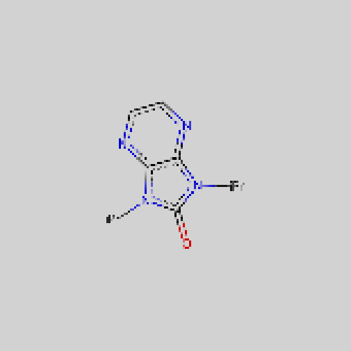 CC(C)n1c(=O)n(C(C)C)c2nccnc21